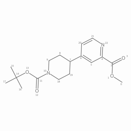 COC(=O)c1cc(C2CCN(C(=O)OC(C)(C)C)CC2)ccn1